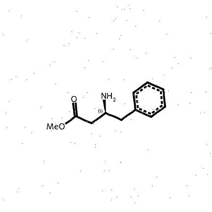 COC(=O)C[C@@H](N)Cc1ccccc1